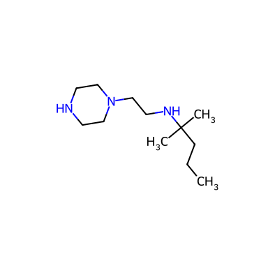 CCCC(C)(C)NCCN1CCNCC1